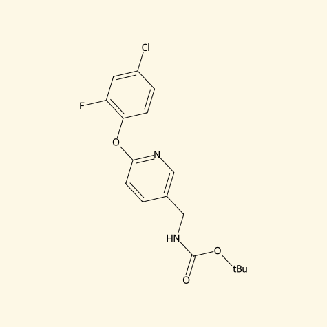 CC(C)(C)OC(=O)NCc1ccc(Oc2ccc(Cl)cc2F)nc1